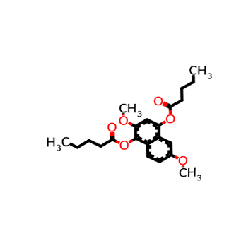 CCCCC(=O)Oc1cc(OC)c(OC(=O)CCCC)c2ccc(OC)cc12